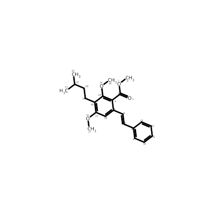 COC(=O)c1c(C=Cc2ccccc2)cc(OC)c(CCC(C)C)c1OC